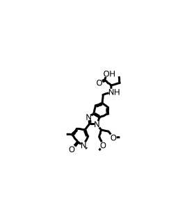 CCC(NCc1ccc2c(c1)nc(-c1cc(C)c(=O)n(C)c1)n2C(COC)COC)C(=O)O